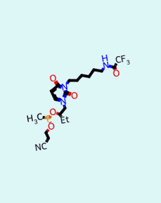 CCC(Cn1ccc(=O)n(CCCCCCNC(=O)C(F)(F)F)c1=O)OP(C)OCCC#N